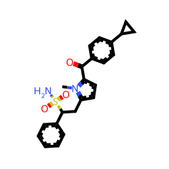 Cn1c(CC(c2ccccc2)S(N)(=O)=O)ccc1C(=O)c1ccc(C2CC2)cc1